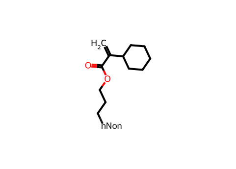 C=C(C(=O)OCCCCCCCCCCCC)C1CCCCC1